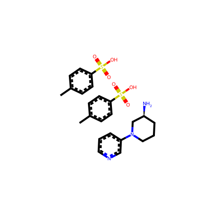 Cc1ccc(S(=O)(=O)O)cc1.Cc1ccc(S(=O)(=O)O)cc1.N[C@H]1CCCN(c2cccnc2)C1